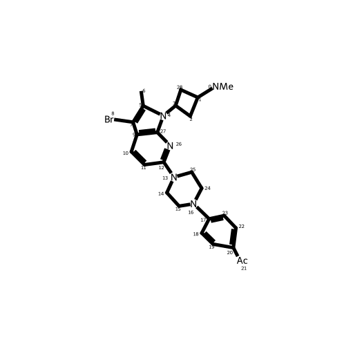 CNC1CC(n2c(C)c(Br)c3ccc(N4CCN(c5ccc(C(C)=O)cc5)CC4)nc32)C1